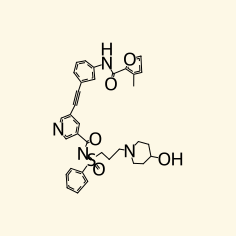 Cc1ccoc1C(=O)Nc1cccc(C#Cc2cncc(C(=O)N=S(=O)(CCCN3CCC(O)CC3)c3ccccc3)c2)c1